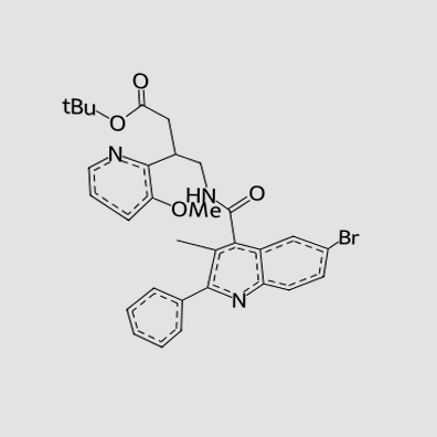 COc1cccnc1C(CNC(=O)c1c(C)c(-c2ccccc2)nc2ccc(Br)cc12)CC(=O)OC(C)(C)C